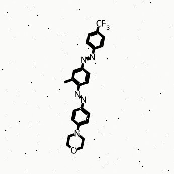 Cc1cc(/N=N/c2ccc(C(F)(F)F)cc2)ccc1/N=N/c1ccc(N2CCOCC2)cc1